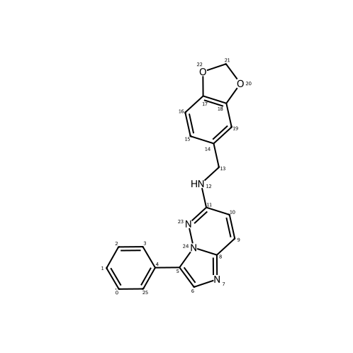 [c]1cccc(-c2cnc3ccc(NCc4ccc5c(c4)OCO5)nn23)c1